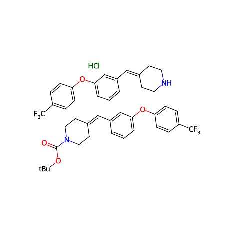 CC(C)(C)OC(=O)N1CCC(=Cc2cccc(Oc3ccc(C(F)(F)F)cc3)c2)CC1.Cl.FC(F)(F)c1ccc(Oc2cccc(C=C3CCNCC3)c2)cc1